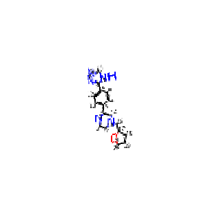 C1=NC(c2ccc(-c3nnc[nH]3)cc2)=CN(CC2CCCO2)C1